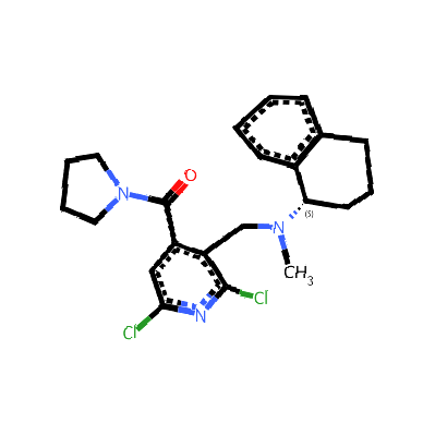 CN(Cc1c(C(=O)N2CCCC2)cc(Cl)nc1Cl)[C@H]1CCCc2ccccc21